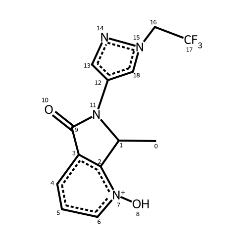 CC1c2c(ccc[n+]2O)C(=O)N1c1cnn(CC(F)(F)F)c1